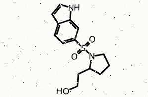 O=S(=O)(c1ccc2cc[nH]c2c1)N1CCCC1CCO